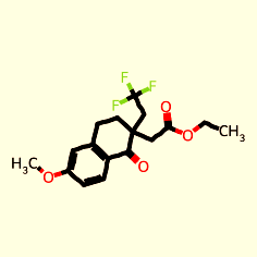 CCOC(=O)CC1(CC(F)(F)F)CCc2cc(OC)ccc2C1=O